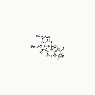 CCCC(C)OC(=O)C(CC(C)C)N[P@](=O)(Oc1ccc(Br)cc1)Oc1c(F)c(F)c(F)c(F)c1F